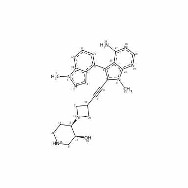 Cn1ncc2c(-c3c(C#CC4CN([C@@H]5CCNC[C@@H]5O)C4)n(C)c4ncnc(N)c34)cccc21